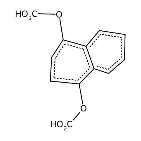 O=C(O)Oc1ccc(OC(=O)O)c2ccccc12